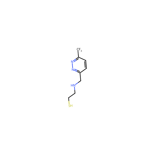 FC(F)(F)c1ccc(CNCCS)nn1